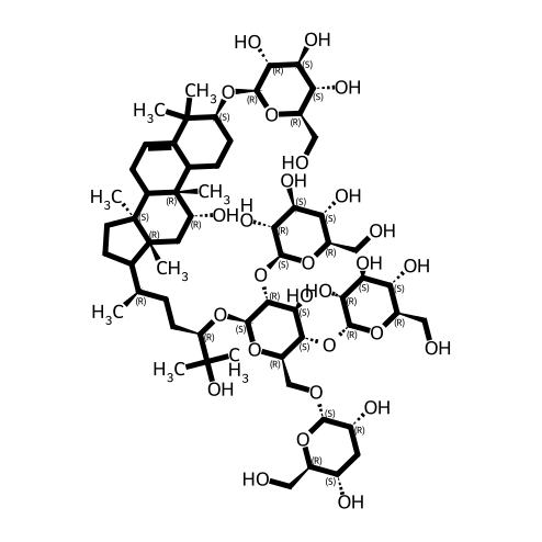 C[C@H](CC[C@@H](O[C@@H]1O[C@H](CO[C@H]2O[C@H](CO)[C@@H](O)C[C@H]2O)[C@@H](O[C@H]2O[C@H](CO)[C@@H](O)[C@H](O)[C@H]2O)[C@H](O)[C@H]1O[C@@H]1O[C@H](CO)[C@@H](O)[C@H](O)[C@H]1O)C(C)(C)O)C1CC[C@@]2(C)C3CC=C4C(CC[C@H](O[C@@H]5O[C@H](CO)[C@@H](O)[C@H](O)[C@H]5O)C4(C)C)[C@]3(C)[C@H](O)C[C@]12C